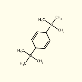 C[Si](C)(C)C1C=CC([Si](C)(C)C)C=C1